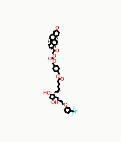 C[C@]12CCC(=O)C=C1CC[C@@H]1C2=CC[C@@]2(C)C1CC[C@@H]2C(=O)COC(=O)OCC1CCC(COC(=O)CCC/C=C\C[C@@H]2[C@@H](/C=C/CCOc3cccc(C(F)(F)F)c3)[C@H](O)C[C@@H]2O)CC1